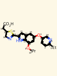 CCc1ccc(Oc2cc(OC(C)C)c3[nH]c(C4=NCC(CC(=O)O)S4)cc3c2)cn1